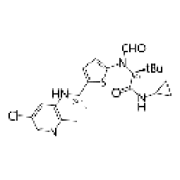 Cc1ncc(Cl)cc1N[C@@H](C)c1ccc(N(C=O)[C@H](C(=O)NC2CC2)C(C)(C)C)s1